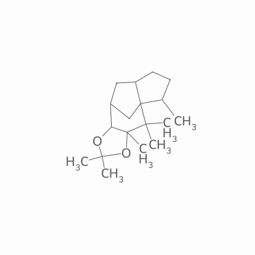 CC1CCC2CC3CC12C(C)(C)C1(C)OC(C)(C)OC31